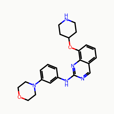 c1cc(Nc2ncc3cccc(OC4CCNCC4)c3n2)cc(N2CCOCC2)c1